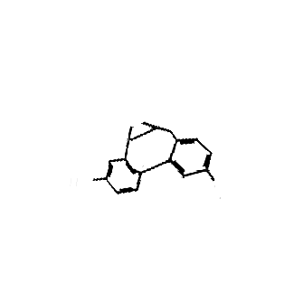 Bc1ccc2c(c1)C1OC1c1ccc(C)cc1-2